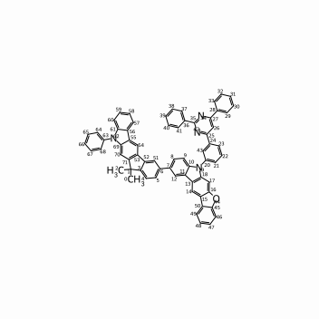 CC1(C)c2ccc(-c3ccc4c(c3)c3cc5c(cc3n4-c3cccc(-c4cc(-c6ccccc6)nc(-c6ccccc6)n4)c3)oc3ccccc35)cc2-c2cc3c4ccccc4n(-c4ccccc4)c3cc21